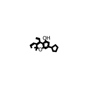 C=CC1=C(/C=C\C)C(C)(C)Oc2cc(C3CCCC3)cc(O)c21